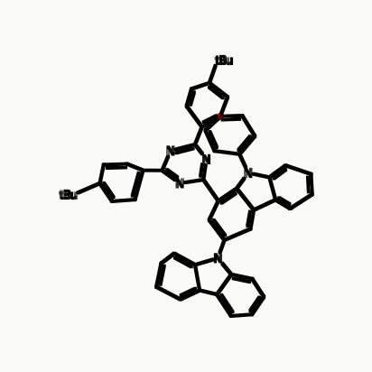 CC(C)(C)c1ccc(-c2nc(-c3ccc(C(C)(C)C)cc3)nc(-c3cc(-n4c5ccccc5c5ccccc54)cc4c5ccccc5n(-c5ccccc5)c34)n2)cc1